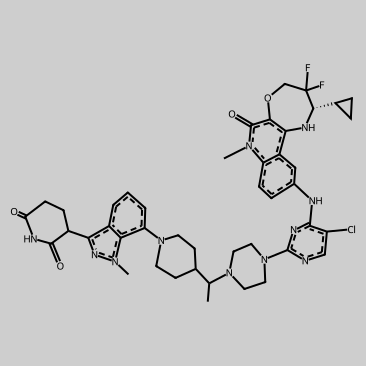 CC(C1CCN(c2cccc3c(C4CCC(=O)NC4=O)nn(C)c23)CC1)N1CCN(c2ncc(Cl)c(Nc3ccc4c(c3)c3c(c(=O)n4C)OCC(F)(F)[C@H](C4CC4)N3)n2)CC1